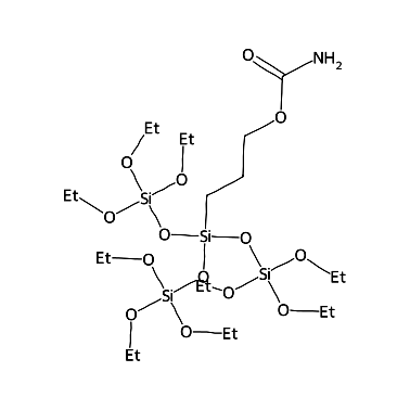 CCO[Si](OCC)(OCC)O[Si](CCCOC(N)=O)(O[Si](OCC)(OCC)OCC)O[Si](OCC)(OCC)OCC